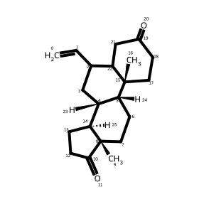 C=CC1C[C@@H]2[C@@H](CC[C@]3(C)C(=O)CC[C@@H]23)[C@@]2(C)CCC(=O)CC12